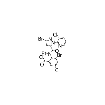 CCN(C(=O)c1cc(Br)nn1-c1ncccc1Cl)c1c(Br)cc(Cl)cc1C(=O)Cl